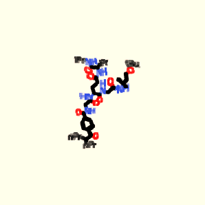 CCCC(CCC)C(=O)c1ccc(C(=O)NCC(=O)NC(CCC(=O)NC(C(=O)NC(C)C)C(C)C)C(=O)NCC(=O)NC(C)(C)CCOC(C)(C)C)cc1